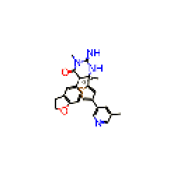 Cc1cncc(-c2csc([C@@]3(C)NC(=N)N(C)C(=O)[C@@H]3c3ccc4c(c3)CCO4)c2)c1